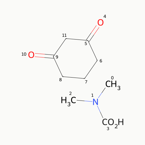 CN(C)C(=O)O.O=C1CCCC(=O)C1